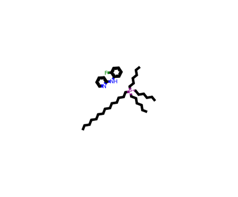 CCCCCCCCCCCCCC[P+](CCCCCC)(CCCCCC)CCCCCC.Fc1ccccc1Nc1ccccn1